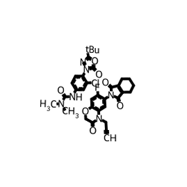 C#CCN1C(=O)COc2cc(F)c(N3C(=O)C4=C(CCCC4)C3=O)cc21.CN(C)C(=O)Nc1ccc(-n2nc(C(C)(C)C)oc2=O)c(Cl)c1